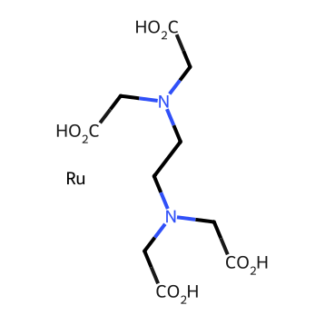 O=C(O)CN(CCN(CC(=O)O)CC(=O)O)CC(=O)O.[Ru]